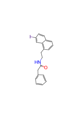 O=C(Cc1ccccc1)NCCc1cccc2ccc(I)cc12